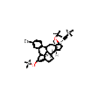 CCc1ccc2c(c1)C[C@]13CC=C(O[Si](C)(C)C)C=C1CC[C@@H]1C3C2C[C@@]2(C)[C@H]1CC[C@]2(C#C[Si](C)(C)C)O[Si](C)(C)C